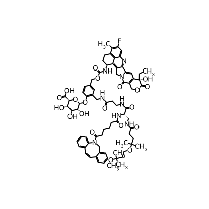 CC[C@@]1(O)C(=O)OCc2c1cc1n(c2=O)Cc2c-1nc1cc(F)c(C)c3c1c2[C@@H](NC(=O)OCc1ccc(O[C@@H]2O[C@H](C(=O)O)[C@@H](O)[C@H](O)[C@H]2O)c(CNC(=O)CCNC(=O)[C@H](CNC(=O)CCC(C)(C)OCCC(C)(C)OC)NC(=O)CCCCC(=O)N2Cc4ccccc4/C=C\c4ccccc42)c1)CC3